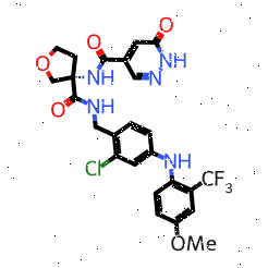 COc1ccc(Nc2ccc(CNC(=O)[C@]3(NC(=O)c4cn[nH]c(=O)c4)CCOC3)c(Cl)c2)c(C(F)(F)F)c1